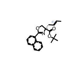 C/C=C/C[C@@]1(C(=O)OC(C)(C)C)COC(c2cccc3ccccc23)=N1